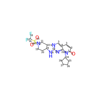 O=c1ccc2cnc(NC3CCN(S(=O)(=O)C(F)F)CC3)nc2n1C1CCCC1